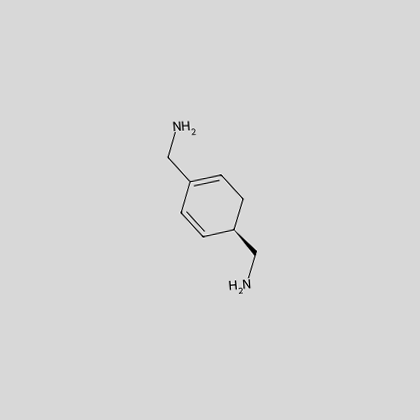 NCC1=CC[C@@H](CN)C=C1